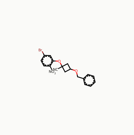 N#CC1(Oc2cc(Br)ccc2[N+](=O)[O-])CC(OCc2ccccc2)C1